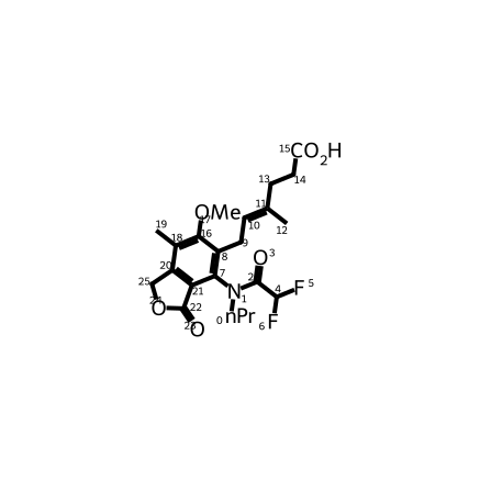 CCCN(C(=O)C(F)F)c1c(C/C=C(\C)CCC(=O)O)c(OC)c(C)c2c1C(=O)OC2